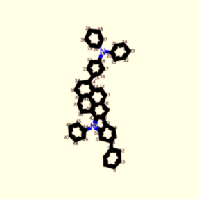 c1ccc(-c2ccc3c4cc5ccc6c(-c7ccc(N(c8ccccc8)c8ccccc8)cc7)ccc7ccc(c5c76)c4n(-c4ccccc4)c3c2)cc1